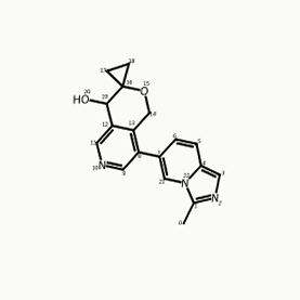 Cc1ncc2ccc(-c3cncc4c3COC3(CC3)C4O)cn12